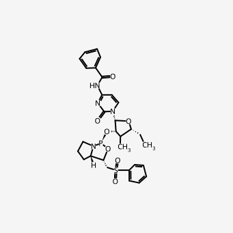 CC[C@H]1O[C@@H](n2ccc(NC(=O)c3ccccc3)nc2=O)[C@@H](O[P@@]2O[C@H](CS(=O)(=O)c3ccccc3)[C@@H]3CCCN32)C1C